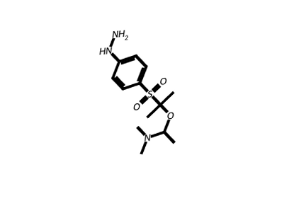 CC(OC(C)(C)S(=O)(=O)c1ccc(NN)cc1)N(C)C